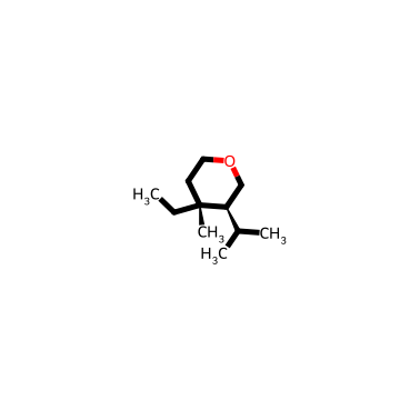 CC[C@]1(C)CCOC[C@H]1C(C)C